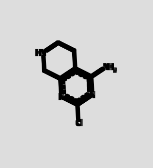 Nc1nc(Cl)nc2c1CCNC2